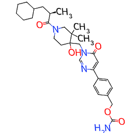 C[C@H](CC1CCCCC1)C(=O)N1CCC(O)(Cn2cnc(-c3ccc(COC(N)=O)cc3)cc2=O)C(C)(C)C1